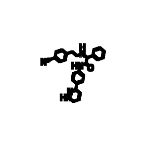 N#Cc1ccc(CCNC(C(=O)Nc2ccc(C3=NNCC=C3)cc2)c2ccccc2)cc1